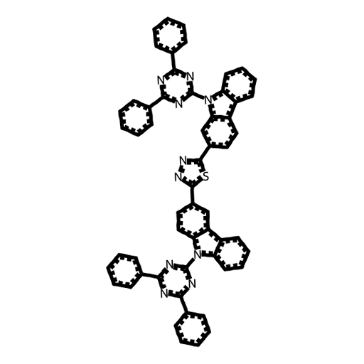 c1ccc(-c2nc(-c3ccccc3)nc(-n3c4ccccc4c4cc(-c5nnc(-c6ccc7c8ccccc8n(-c8nc(-c9ccccc9)nc(-c9ccccc9)n8)c7c6)s5)ccc43)n2)cc1